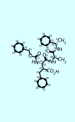 C[C@H](NC(=O)[C@@H](C)NC(=O)[C@@H](NC(=O)OCc1ccccc1)C(Cc1ccccc1)C(=O)O)c1ccccc1